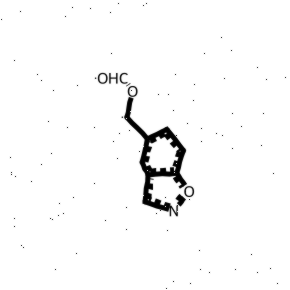 O=[C]O[CH]c1ccc2oncc2c1